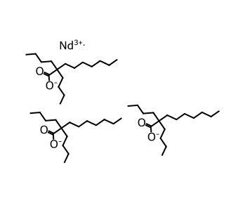 CCCCCCCC(CCCC)(CCCC)C(=O)[O-].CCCCCCCC(CCCC)(CCCC)C(=O)[O-].CCCCCCCC(CCCC)(CCCC)C(=O)[O-].[Nd+3]